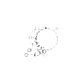 CC(NC(=O)OCC1c2ccccc2-c2ccccc21)C(O)C(C)O[C@H](C)O[C@H]1/C=C/C=C/C=C/C=C/C=C/C=C/C=C/[C@H](C)[C@@H](O)[C@@H](C)[C@H](C)OC(=O)C[C@H](O)C[C@H](O)CC[C@@H](O)[C@H](O)C[C@H](O)C[C@]2(O)C[C@H](O)[C@@H](C(=O)O)[C@H](C1)O2